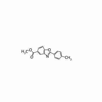 COC(=O)c1ccc2oc(-c3ccc(C)cc3)nc2c1